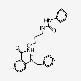 O=C(NCCCONC(=O)c1ccccc1NCc1ccncc1)Nc1ccccc1